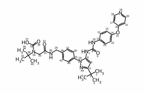 CC(C)(C)c1cc(NC(=O)Nc2ccc(Oc3ccncc3)cc2)n(-c2ccc(CNC(=O)CN(C(=O)O)C(C)(C)C)cc2)n1